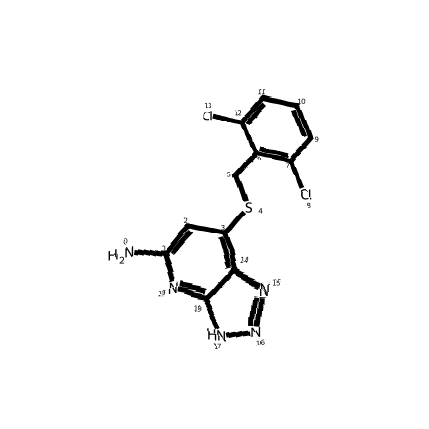 Nc1cc(SCc2c(Cl)cccc2Cl)c2nn[nH]c2n1